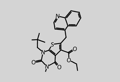 CCOC(=O)c1c(Cc2ccnc3ccccc23)sc2c1c(=O)n(C)c(=O)n2CC(C)(C)C